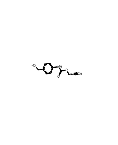 C#CCOC(=O)Nc1ccc(CO)cc1